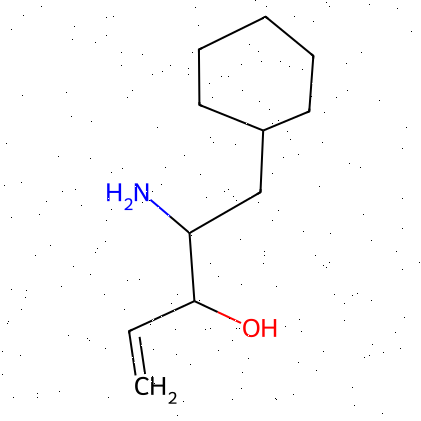 C=CC(O)C(N)CC1CCCCC1